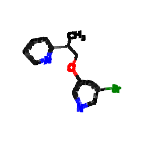 CC(COc1cncc(Br)c1)c1ccccn1